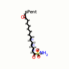 CCCCCC1OC1CCCCCC/C=C/C=C/C=C/C(=O)S(N)(=O)=O